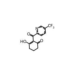 O=C1CCCC(O)=C1C(=O)c1ccc(C(F)(F)F)cn1